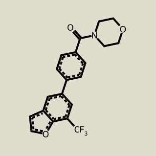 O=C(c1ccc(-c2cc(C(F)(F)F)c3occc3c2)cc1)N1CCOCC1